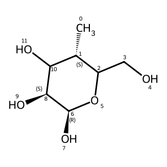 C[C@@H]1C(CO)O[C@@H](O)[C@@H](O)C1O